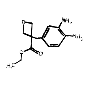 CCOC(=O)C1(c2ccc(N)c(N)c2)COC1